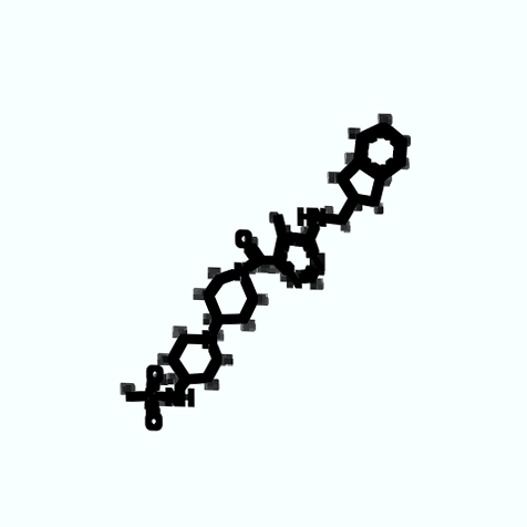 Cc1c(NCC2Cc3ccccc3C2)ncnc1C(=O)N1CCC(N2CCC(NS(C)(=O)=O)CC2)CC1